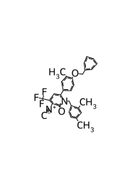 [C-]#[N+]c1c(C(F)(F)F)cc(-c2ccc(OCc3ccccc3)c(C)c2)n(Cc2ccc(C)cc2C)c1=O